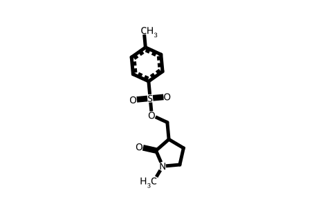 Cc1ccc(S(=O)(=O)OCC2CCN(C)C2=O)cc1